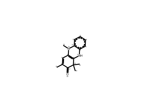 CC1=CC2=C(Nc3ccccc3N2C)C(C)(C)C1=O